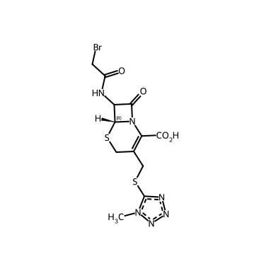 Cn1nnnc1SCC1=C(C(=O)O)N2C(=O)C(NC(=O)CBr)[C@H]2SC1